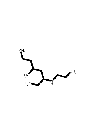 CCCNC(CC)CC(N)CCC